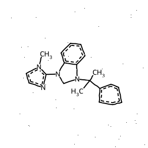 Cn1ccnc1N1CN(C(C)(C)c2ccccc2)c2ccccc21